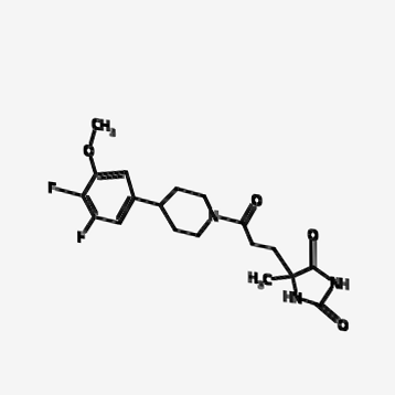 COc1cc(C2CCN(C(=O)CCC3(C)NC(=O)NC3=O)CC2)cc(F)c1F